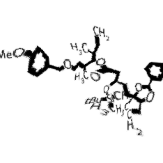 C=C[C@@H]1O[C@H](c2ccccc2)O[C@]1(C)CC[C@H](CC(=O)O[C@H](/C(C)=C/COCc1ccc(OC)cc1)[C@@H](C)C=C)O[Si](C)(C)C(C)(C)C